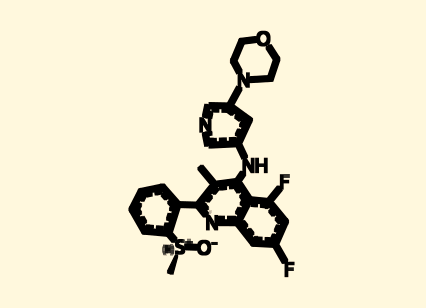 Cc1c(-c2ccccc2[S@+](C)[O-])nc2cc(F)cc(F)c2c1Nc1cncc(N2CCOCC2)c1